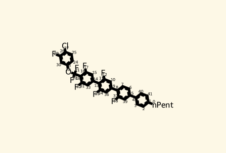 CCCCCc1ccc(-c2ccc(-c3cc(F)c(-c4cc(F)c(C(F)(F)Oc5ccc(Cl)c(F)c5)c(F)c4)c(F)c3)c(F)c2)cc1